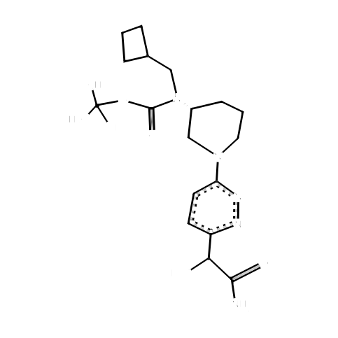 CC(C(N)=O)c1ccc(N2CCC[C@@H](N(CC3CCC3)C(=O)OC(C)(C)C)C2)nn1